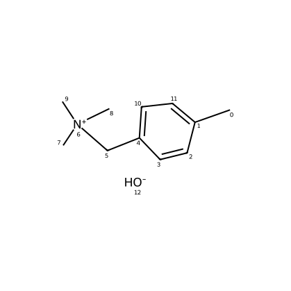 Cc1ccc(C[N+](C)(C)C)cc1.[OH-]